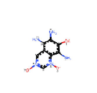 Nc1c(O)c(N)c2c(c[n+]([O-])c[n+]2[O-])c1N